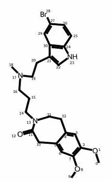 COc1cc2c(cc1OC)CC(=O)N(CCCN(C)CCc1c[nH]c3ccc(Br)cc13)CC2